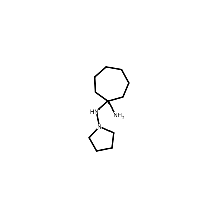 NC1(NN2CCCC2)CCCCCC1